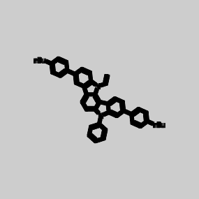 C=Cn1c2ccc(-c3ccc(CCCC)cc3)cc2c2ccc3c(c4ccc(-c5ccc(CCCC)cc5)cc4n3-c3ccccc3)c21